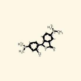 CN(C)c1ccc(C2OC(=O)c3cc(N(C)C)ccc32)c(Cl)c1